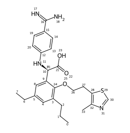 CCCc1cc(CC)cc([C@@H](Nc2ccc(C(=N)N)cc2)C(=O)O)c1OCCc1scnc1C